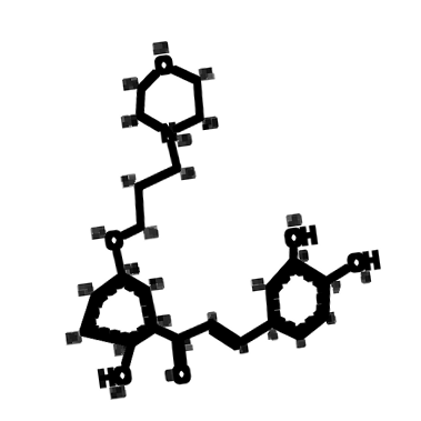 O=C(/C=C/c1ccc(O)c(O)c1)c1cc(OCCCN2CCOCC2)ccc1O